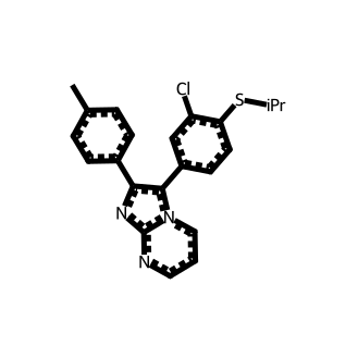 Cc1ccc(-c2nc3ncccn3c2-c2ccc(SC(C)C)c(Cl)c2)cc1